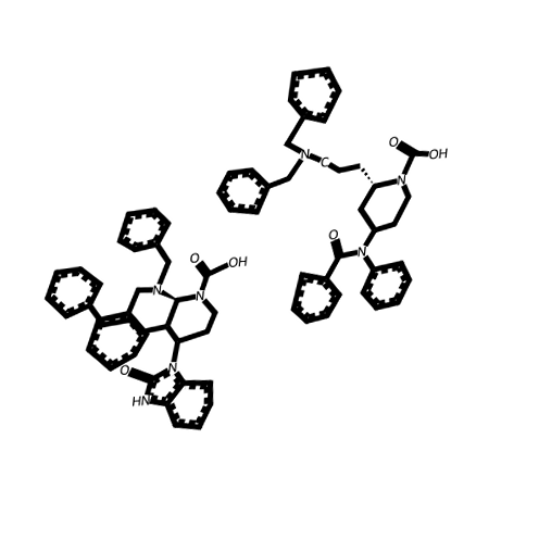 O=C(O)N1CCC(n2c(=O)[nH]c3ccccc32)C(CCCc2ccccc2)[C@H]1N(Cc1ccccc1)Cc1ccccc1.O=C(c1ccccc1)N(c1ccccc1)C1CCN(C(=O)O)[C@@H](CCCN(Cc2ccccc2)Cc2ccccc2)C1